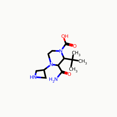 CC(C)(C)C1C(C(N)=O)N(C2CNC2)CCN1C(=O)O